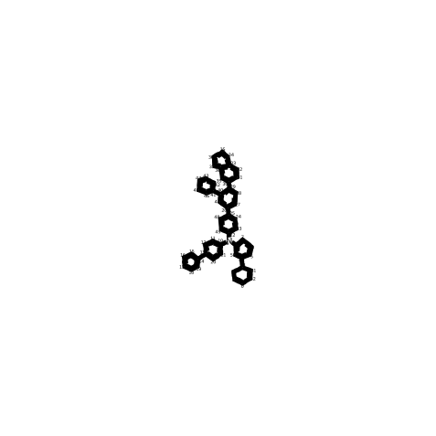 C1=CCC(c2cccc(N(c3ccc(-c4ccccc4)cc3)c3ccc(-c4ccc(-c5ccc6ccccc6c5)c(-c5ccccc5)c4)cc3)c2)C=C1